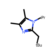 Cc1nc(CC(C)(C)C)n(C(C)C)c1C